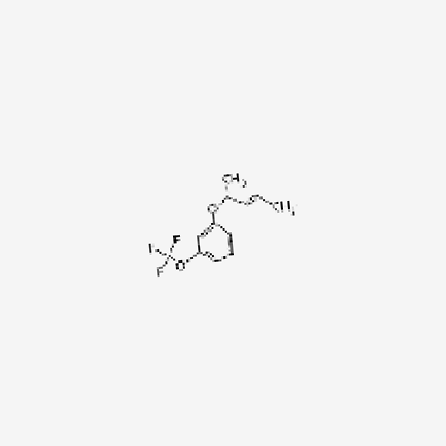 [CH2]C=CC(C)Oc1cccc(OC(F)(F)F)c1